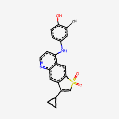 N#Cc1cc(Nc2ccnc3cc4c(cc23)S(=O)(=O)C=C4C2CC2)ccc1O